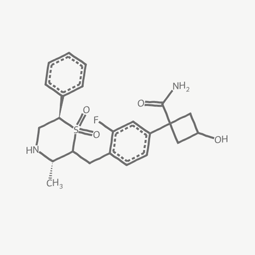 C[C@@H]1NC[C@@H](c2ccccc2)S(=O)(=O)C1Cc1ccc(C2(C(N)=O)CC(O)C2)cc1F